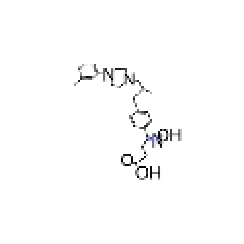 Cc1cccc(N2CCN(CC(C)Cc3ccc(/C(CCC(=O)O)=N\O)cc3)CC2)c1